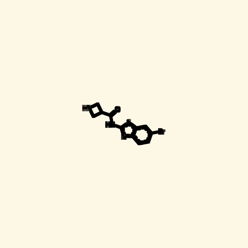 O=C(Nc1nc2ccc(Br)cc2s1)C1CNC1